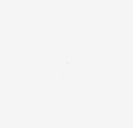 Cc1cnc(CS(C)(=O)=O)nc1